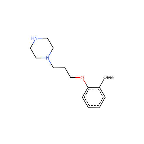 COc1ccccc1OCCCN1CCNCC1